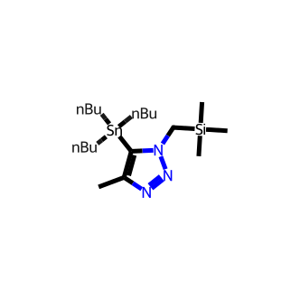 CCC[CH2][Sn]([CH2]CCC)([CH2]CCC)[c]1c(C)nnn1C[Si](C)(C)C